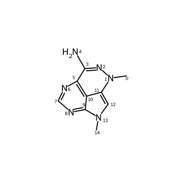 CN1N=C(N)c2ncnc3c2c1cn3C